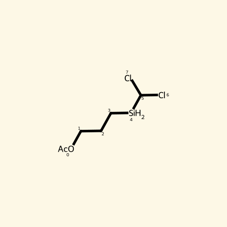 CC(=O)OCCC[SiH2]C(Cl)Cl